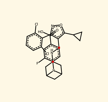 O=C(O)c1ccc(N2C3CC(NCc4c(-c5c(Cl)cccc5Cl)noc4C4CC4)CC2C3)c(F)c1